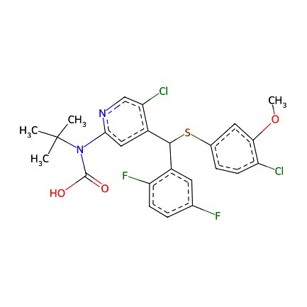 COc1cc(SC(c2cc(F)ccc2F)c2cc(N(C(=O)O)C(C)(C)C)ncc2Cl)ccc1Cl